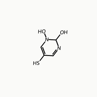 OC1N=CC(S)=CN1O